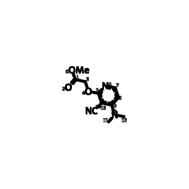 COC(=O)COc1nccc(N(C)C)c1C#N